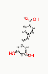 O=C(O)c1ccc(C=Cc2cc(O)cc(O)c2)cc1